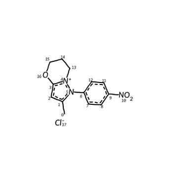 Cc1cc2[n+](n1-c1ccc([N+](=O)[O-])cc1)CCCO2.[Cl-]